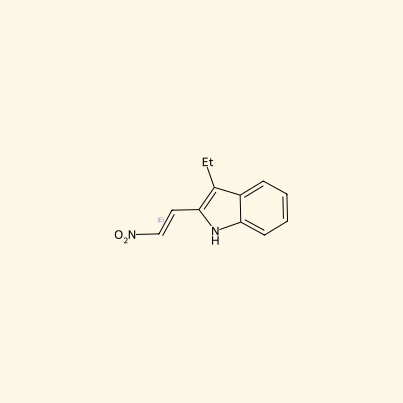 CCc1c(/C=C/[N+](=O)[O-])[nH]c2ccccc12